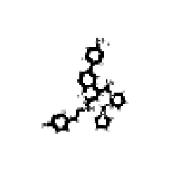 Nc1ccc(-c2ccc3nc(NCCc4ccc(F)cc4)cc(C(=O)N4CCC[C@H]4CN4CCCC4)c3c2)cc1